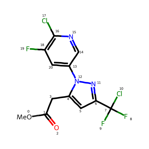 COC(=O)Cc1cc(C(F)(F)Cl)nn1-c1cnc(Cl)c(F)c1